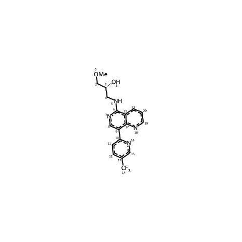 COC[C@H](O)CNc1ncc(-c2ccc(C(F)(F)F)cn2)c2ncccc12